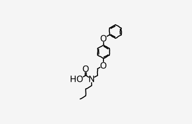 CCCCN(CCOc1ccc(Oc2ccccc2)cc1)C(=O)O